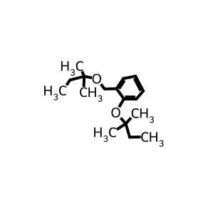 CCC(C)(C)OCc1ccccc1OC(C)(C)CC